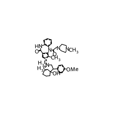 COc1ccc(C(CN(C)C)C2(O)CCCCC2)cc1.Cc1scc2c1N(C(=O)CN1CCN(C)CC1)c1ccccc1NC2=O